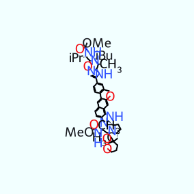 CC[C@H](C)N(C(=O)[C@@H](NC(=O)OC)C(C)C)[C@@H](C)c1ncc(-c2ccc3c(c2)COc2cc4c(ccc5nc([C@@H]6CC[C@H](CC7(C)CCCOC7)N6C(=O)[C@H](C)NC(=O)OC)[nH]c54)cc2-3)[nH]1